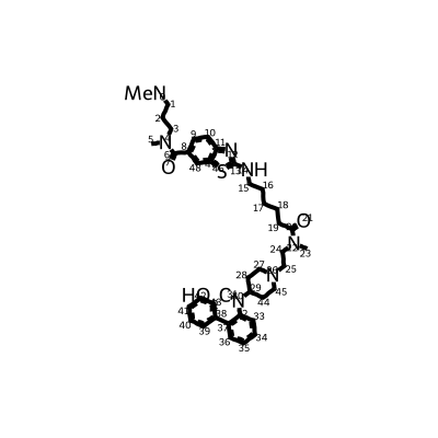 CNCCCN(C)C(=O)c1ccc2nc(NCCCCCC(=O)N(C)CCN3CCC(N(C(=O)O)c4ccccc4-c4ccccc4)CC3)sc2c1